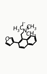 C[N+](C)(C)Cc1c(-c2ccoc2)ccc2ccccc12.[I-]